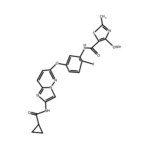 COc1nc(C)sc1C(=O)Nc1cc(Oc2ccc3nc(NC(=O)C4CC4)cn3n2)ccc1F